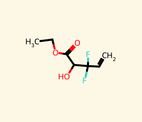 C=CC(F)(F)C(O)C(=O)OCC